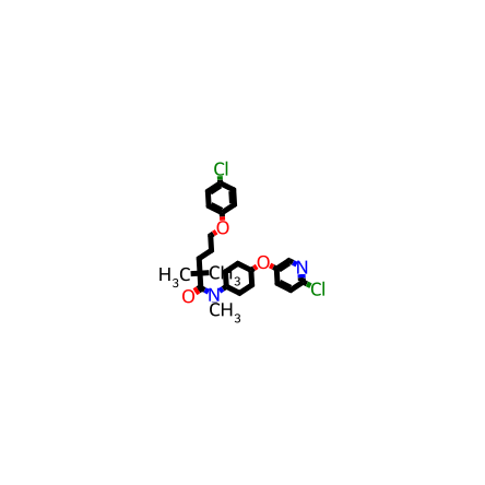 CN(C(=O)C(C)(C)CCCOc1ccc(Cl)cc1)C1CCC(Oc2ccc(Cl)nc2)CC1